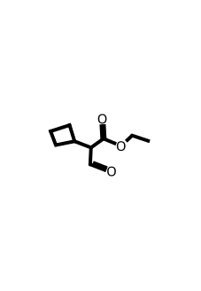 CCOC(=O)C(C=O)C1CCC1